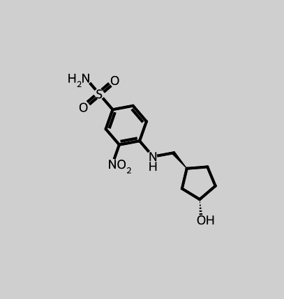 NS(=O)(=O)c1ccc(NC[C@H]2CC[C@H](O)C2)c([N+](=O)[O-])c1